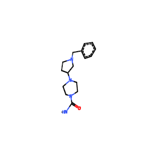 [NH]C(=O)N1CCN(C2CCN(Cc3ccccc3)C2)CC1